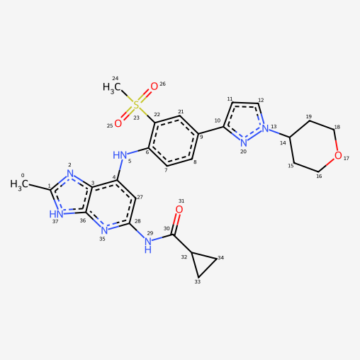 Cc1nc2c(Nc3ccc(-c4ccn(C5CCOCC5)n4)cc3S(C)(=O)=O)cc(NC(=O)C3CC3)nc2[nH]1